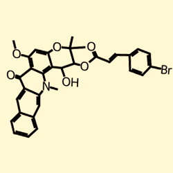 COc1cc2c(c3c1c(=O)c1cc4ccccc4cc1n3C)C(O)C(OC(=O)/C=C/c1ccc(Br)cc1)C(C)(C)O2